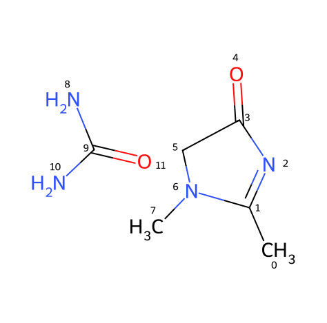 CC1=NC(=O)CN1C.NC(N)=O